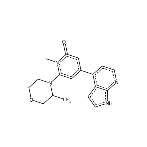 O=c1cc(-c2ccnc3[nH]ccc23)cc(N2CCOCC2C(F)(F)F)n1I